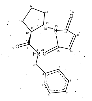 O=C(NCc1ccccc1)[C@H]1CCC[C@@H]1N1C(=O)C=CC1=O